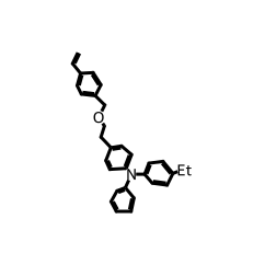 C=Cc1ccc(COCCc2ccc(N(c3ccccc3)c3ccc(CC)cc3)cc2)cc1